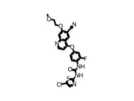 COCCOc1cc2nccc(Oc3ccc(NC(=O)Nc4ncc(Cl)s4)c(F)c3)c2cc1C#N